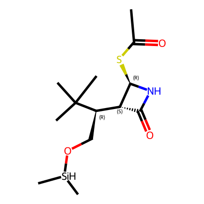 CC(=O)S[C@H]1NC(=O)[C@@H]1[C@@H](CO[SiH](C)C)C(C)(C)C